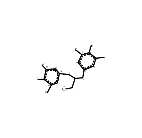 CC(=O)CC(Cc1cc(C)c(C)c(C)c1)Cc1cc(C)c(C)c(C)c1